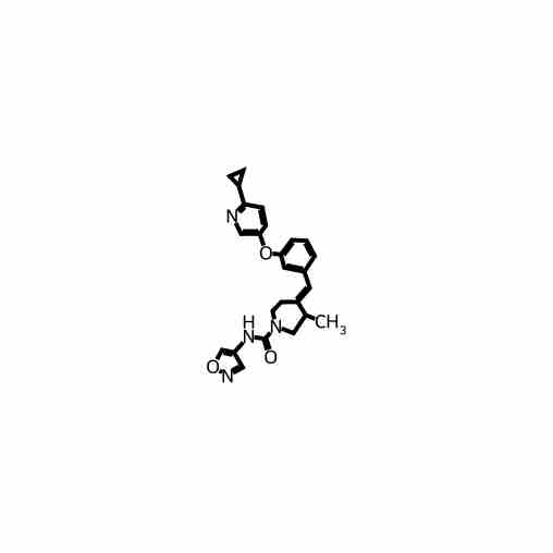 CC1CN(C(=O)Nc2cnoc2)CC/C1=C\c1cccc(Oc2ccc(C3CC3)nc2)c1